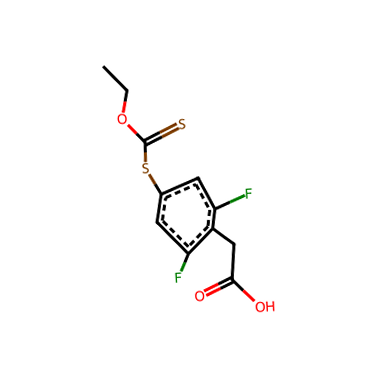 CCOC(=S)Sc1cc(F)c(CC(=O)O)c(F)c1